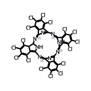 ClC1=C(Cl)C2=C3/N=C4N=C(/N=c5\[nH]/c(c6c(Cl)c(Cl)c(Cl)c(Cl)c56)=N\C5=NC(=N\C(N3)C2C(Cl)=C1Cl)/c1c(Cl)c(Cl)c(Cl)c(Cl)c15)c1c(Cl)c(Cl)c(Cl)c(Cl)c1\4